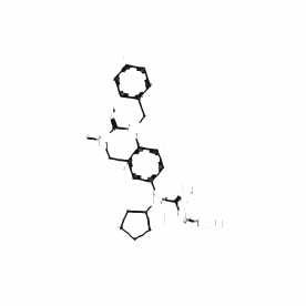 C[C@@H](c1ccccc1)N1C(=O)N(C)Cc2cc(N(C(=O)NC(C)(C)C)C3CCCC3)ccc21